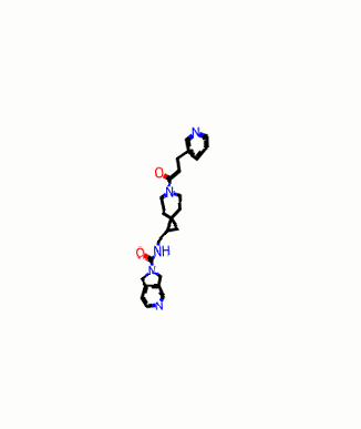 O=C(CCc1cccnc1)N1CCC2(CC1)CC2CNC(=O)N1Cc2ccncc2C1